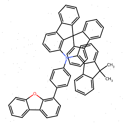 CC1(C)c2ccccc2-c2c(N(c3ccc(-c4cccc5c4oc4ccccc45)cc3)c3cccc4c3C3(c5ccccc5-c5ccccc53)c3ccccc3-4)cccc21